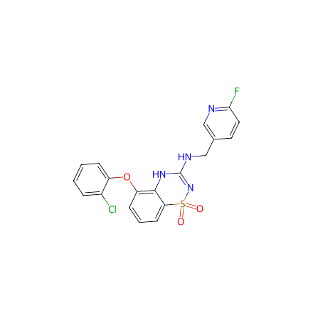 O=S1(=O)N=C(NCc2ccc(F)nc2)Nc2c(Oc3ccccc3Cl)cccc21